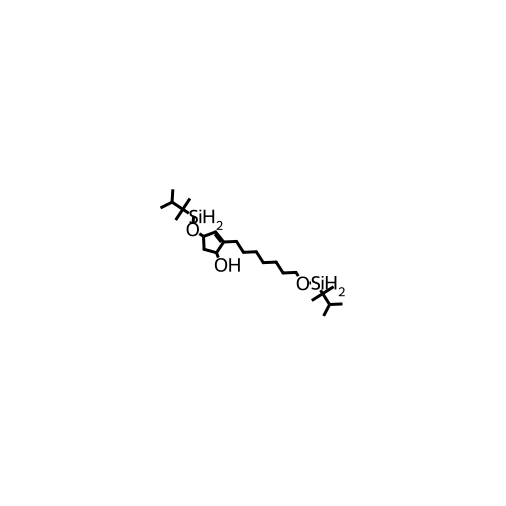 CC(C)C(C)(C)[SiH2]OCCCCCCCC1=CC(O[SiH2]C(C)(C)C(C)C)CC1O